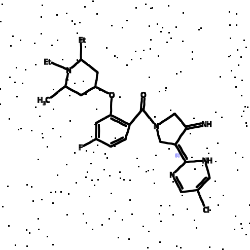 CCC1CC(Oc2cc(F)ccc2C(=O)N2CC(=N)/C(=C3/N=CC(Cl)=CN3)C2)CC(C)N1CC